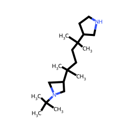 CC(C)(CCC(C)(C)C1CN(C(C)(C)C)C1)C1CCNC1